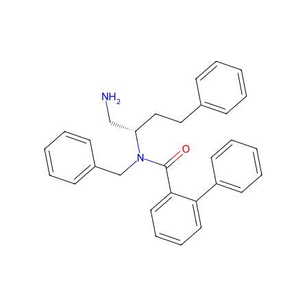 NC[C@H](CCc1ccccc1)N(Cc1ccccc1)C(=O)c1ccccc1-c1ccccc1